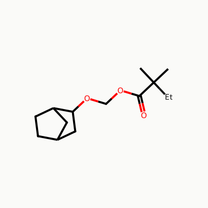 CCC(C)(C)C(=O)OCOC1CC2CCC1C2